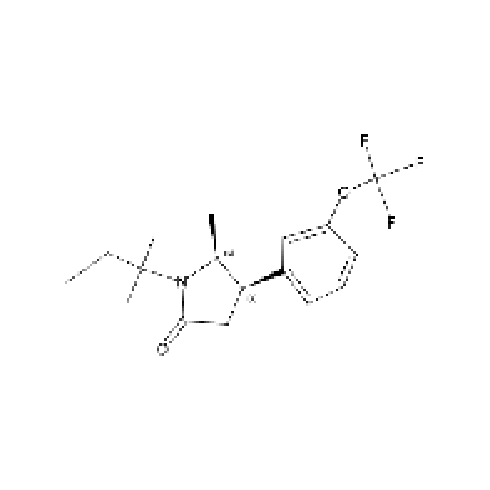 CCC(C)(C)N1C(=O)C[C@H](c2cccc(OC(F)(F)F)c2)[C@@H]1C